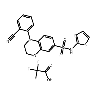 N#Cc1ccccc1N1CCOc2cc(S(=O)(=O)Nc3nccs3)ccc21.O=C(O)C(F)(F)F